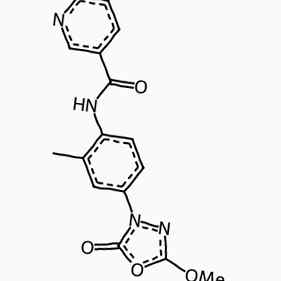 COc1nn(-c2ccc(NC(=O)c3cccnc3)c(C)c2)c(=O)o1